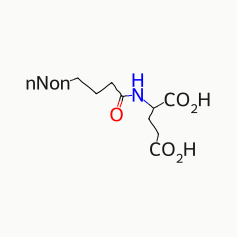 CCCCCCCCCCCCC(=O)NC(CCC(=O)O)C(=O)O